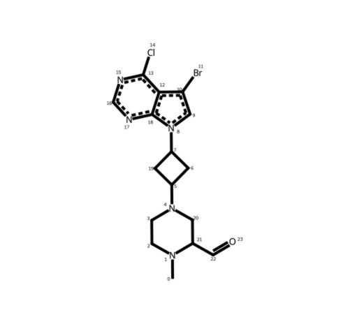 CN1CCN(C2CC(n3cc(Br)c4c(Cl)ncnc43)C2)CC1C=O